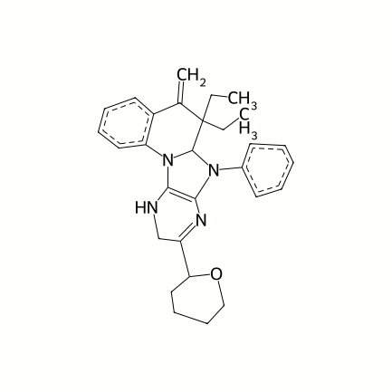 C=C1c2ccccc2N2C3=C(N=C(C4CCCCO4)CN3)N(c3ccccc3)C2C1(CC)CC